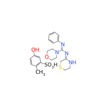 Cc1ccc(O)cc1S(=O)(=O)O.c1ccc(N=C(N=C2CSCCN2)N2CCOCC2)cc1